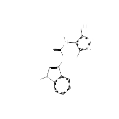 Cc1noc(C)c1N(C)C(=O)OC1=CC(O)c2ccccc21